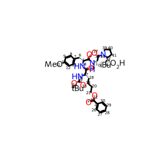 CC[C@H](C)[C@H](NC(=O)[C@@H](Cc1ccc(OC)cc1)NC(=O)[C@H](CCCCOC(=O)c1ccccc1)NC(=O)OC(C)(C)C)C(=O)N1CCC[C@@H]1C(=O)O